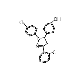 Oc1ccc(C2CC(c3ccccc3Cl)=NN2c2ccc(Cl)cc2)cc1